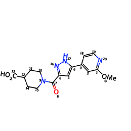 COc1cc(-c2cc(C(=O)N3CCC(C(=O)O)CC3)n[nH]2)ccn1